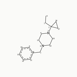 CCC1(N2CCN(Cc3ccccc3)CC2)CC1